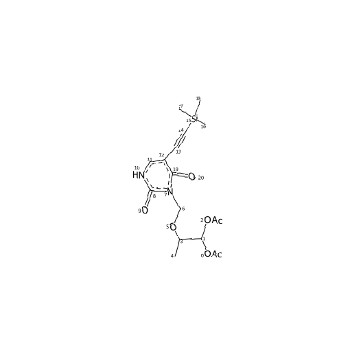 CC(=O)OC(OC(C)=O)C(C)OCn1c(=O)[nH]cc(C#C[Si](C)(C)C)c1=O